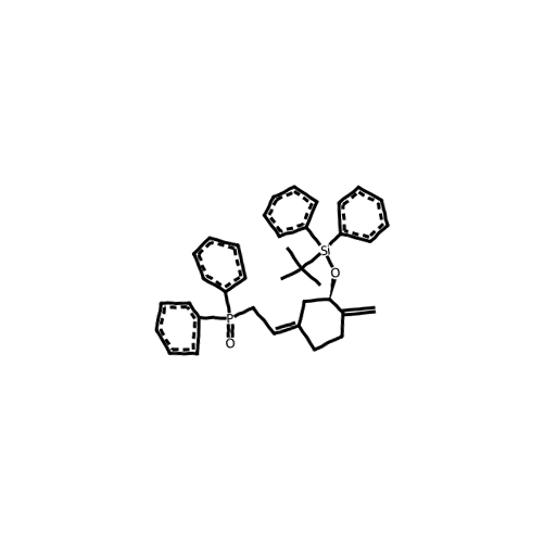 C=C1CCC(=CCP(=O)(c2ccccc2)c2ccccc2)C[C@H]1O[Si](c1ccccc1)(c1ccccc1)C(C)(C)C